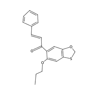 CCCOc1cc2c(cc1C(=O)C=Cc1ccccc1)OCS2